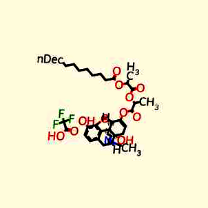 CCCCCCCCCCCCCCCCCC(=O)OC(C)C(=O)OC(C)C(=O)OC1=CC[C@@]2(O)[C@H]3Cc4ccc(O)c5c4[C@@]2(CCN3C)[C@H]1O5.O=C(O)C(F)(F)F